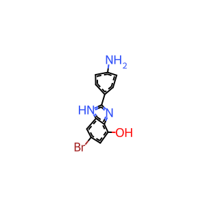 Nc1ccc(-c2nc3c(O)cc(Br)cc3[nH]2)cc1